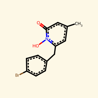 Cc1cc(Cc2ccc(Br)cc2)n(O)c(=O)c1